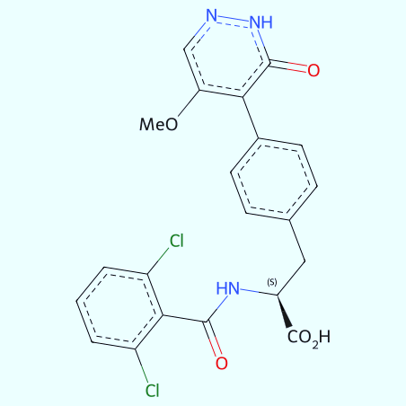 COc1cn[nH]c(=O)c1-c1ccc(C[C@H](NC(=O)c2c(Cl)cccc2Cl)C(=O)O)cc1